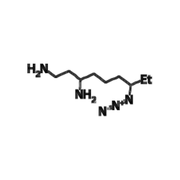 CCC(CCCC(N)CCN)N=[N+]=[N-]